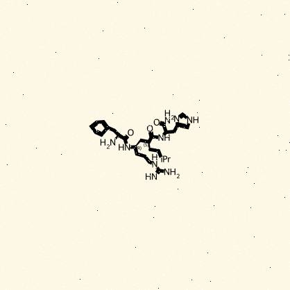 CC(C)CC[C@@H](C[C@@H](CCCNC(=N)N)NC(=O)[C@@H](N)Cc1ccccc1)C(=O)NC(Cc1c[nH]cn1)C(N)=O